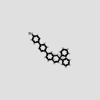 Brc1ccc(-c2ccc(-c3ccc4c(c3)CC(c3ccccc3)(c3ccccc3)C=C4)cc2)cc1